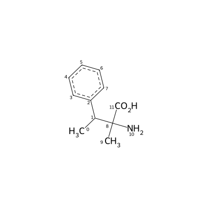 CC(c1ccccc1)C(C)(N)C(=O)O